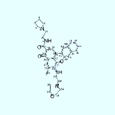 O=C(NCCN1CCCC1)c1cn2c3c(c(NCCN4CCOCC4)c(F)cc3c1=O)Oc1cc3ccccc3cc1-2